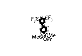 CO[Si](OC)(OC(C)C)c1ccc(-c2cc(C(F)(F)F)cc(C(F)(F)F)c2)cc1